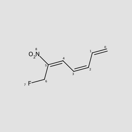 C=C/C=C\C=C(/CF)[N+](=O)[O-]